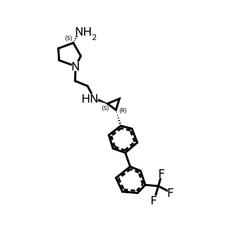 N[C@H]1CCN(CCN[C@H]2C[C@@H]2c2ccc(-c3cccc(C(F)(F)F)c3)cc2)C1